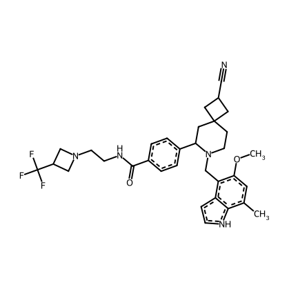 COc1cc(C)c2[nH]ccc2c1CN1CCC2(CC(C#N)C2)CC1c1ccc(C(=O)NCCN2CC(C(F)(F)F)C2)cc1